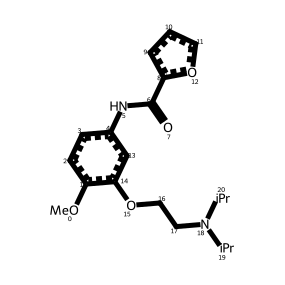 COc1ccc(NC(=O)c2ccco2)cc1OCCN(C(C)C)C(C)C